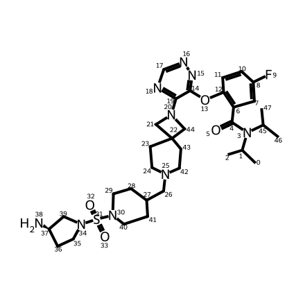 CC(C)N(C(=O)c1cc(F)ccc1Oc1nncnc1N1CC2(CCN(CC3CCN(S(=O)(=O)N4CC[C@@H](N)C4)CC3)CC2)C1)C(C)C